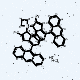 CC(C)C1=Cc2c(-c3c4ccccc4cc4ccccc34)cccc2[CH]1[Hf]1([CH]2C(C(C)C)=Cc3c(-c4c5ccccc5cc5ccccc45)cccc32)[CH2]C[CH2]1.Cl.Cl